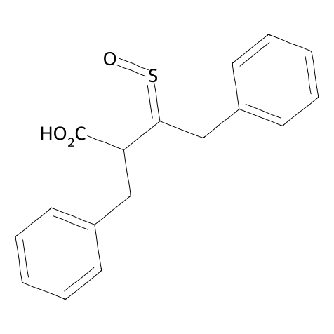 O=S=C(Cc1ccccc1)C(Cc1ccccc1)C(=O)O